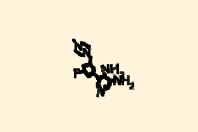 CN1CCN(Cc2cc(F)cc(-c3cncc(N)c3N)c2)CC1